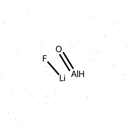 [Li][F].[O]=[AlH]